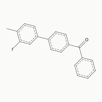 Cc1ccc(-c2ccc(C(=O)c3ccccc3)cc2)cc1I